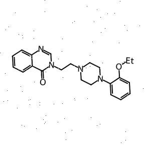 CCOc1ccccc1N1CCN(CCn2cnc3ccccc3c2=O)CC1